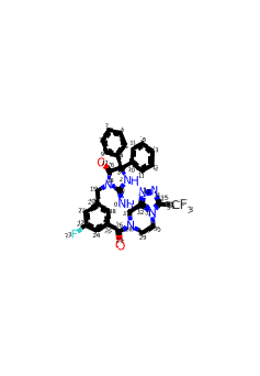 N=C1NC(c2ccccc2)(c2ccccc2)C(=O)N1Cc1cc(F)cc(C(=O)N2CCn3c(nnc3C(F)(F)F)C2)c1